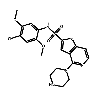 COc1cc(NS(=O)(=O)c2cc3c(N4CCNCC4)nccc3s2)c(OC)cc1Cl